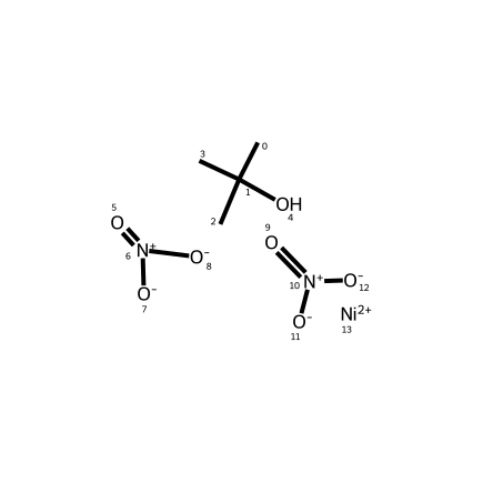 CC(C)(C)O.O=[N+]([O-])[O-].O=[N+]([O-])[O-].[Ni+2]